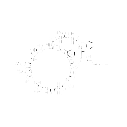 C=C1NC(=O)[C@H]([C@@H](C)CC)NC(=O)[C@@H]2CSSC[C@H](NC(=O)CCC(=O)O)C(=O)N[C@H](Cc3ccccc3)C(=O)N[C@H](C)C(=O)NC(C[C@@H](C)CC)C(=O)N[C@@H](C(=O)N[C@H](Cc3ccccc3)C(=O)N3CCC[C@H]3C(=O)N2)[C@@H](C)OC(=O)[C@H](CO)NC(=O)[C@H]([C@@H](C)OC)N(C)C(=O)[C@@H](C(C)C)NC(=O)[C@H](CC(C)CC)NC1=O